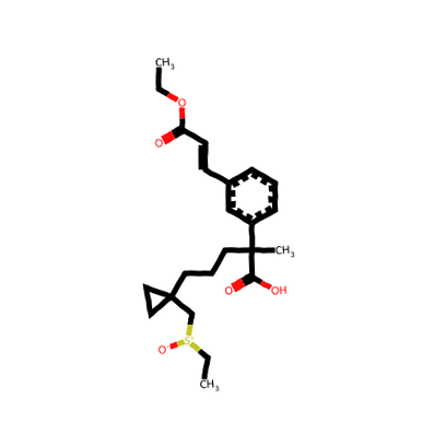 CCOC(=O)/C=C/c1cccc(C(C)(CCCC2(C[S+]([O-])CC)CC2)C(=O)O)c1